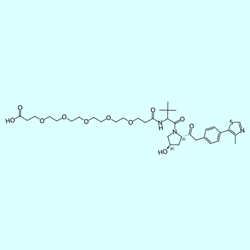 Cc1ncsc1-c1ccc(CC(=O)[C@@H]2C[C@@H](O)CN2C(=O)C(NC(=O)CCOCCOCCOCCOCCOCCC(=O)O)C(C)(C)C)cc1